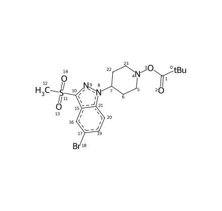 CC(C)(C)C(=O)ON1CCC(n2nc(S(C)(=O)=O)c3cc(Br)ccc32)CC1